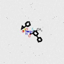 Cc1cc(-c2ccccc2)cc(C(=O)NNS(=O)(=O)C2(c3ccccc3)CC2)c1F